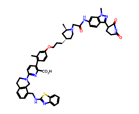 Cc1cc(OCCC[C@H]2CCN(CC(=O)Nc3ccc4c(C5CCC(=O)NC5=O)nn(C)c4c3)[C@H](C)C2)ccc1-c1ccc(N2CCc3cccc(CNc4nc5ccccc5s4)c3C2)nc1C(=O)O